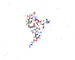 CC#C/C=C\C#C[C@H](OC1OC(C)C(C(=O)c2nccc3c2[nH]c2ccc(OCCN=[N+]=[N-])cc23)CC1OC1CC(OC)C(NC(C)C)CO1)C1=C(NC(=O)OC)C(=O)C[C@H](O)/C1=C/CS(C)(=S)=S